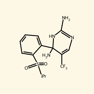 CC(C)S(=O)(=O)c1ccccc1C1(N)NC(N)=NC=C1C(F)(F)F